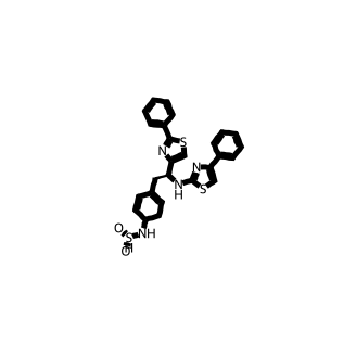 O=[SH](=O)NC1C=CC(C[C@H](Nc2nc(-c3ccccc3)cs2)c2csc(-c3ccccc3)n2)=CC1